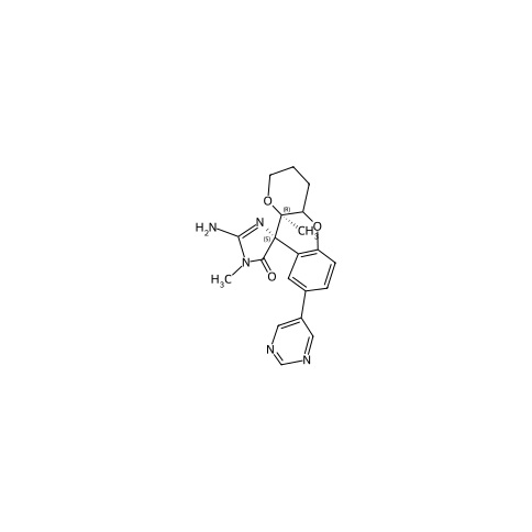 CN1C(=O)[C@]2(N=C1N)c1cc(-c3cncnc3)ccc1OC1CCCO[C@@]12C